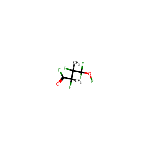 O=C(F)C(F)(C(F)(F)F)C(F)(C(F)(F)F)C(F)(F)OF